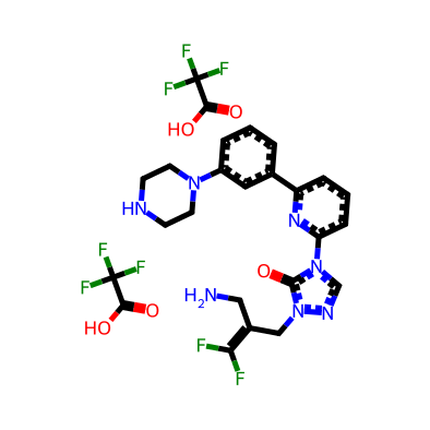 NCC(Cn1ncn(-c2cccc(-c3cccc(N4CCNCC4)c3)n2)c1=O)=C(F)F.O=C(O)C(F)(F)F.O=C(O)C(F)(F)F